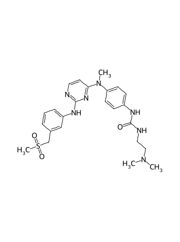 CN(C)CCNC(=O)Nc1ccc(N(C)c2ccnc(Nc3cccc(CS(C)(=O)=O)c3)n2)cc1